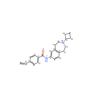 COc1ccc(C(=O)Nc2ccc3c(c2)CCN(C2CCC2)CC3)cc1